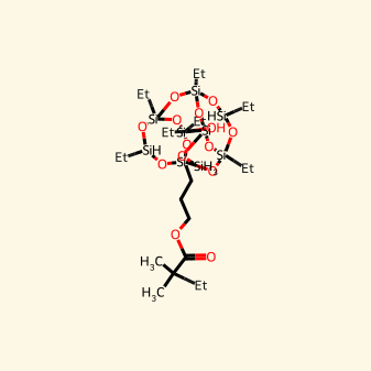 CC[SiH]1O[Si]2(CC)O[Si](O)(CC)O[Si](CCCOC(=O)C(C)(C)CC)(O1)O[Si]1(CC)O[SiH](CC)O[Si](CC)(O2)O[Si](CC)(O[SiH3])O1